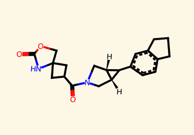 O=C1NC2(CO1)CC(C(=O)N1C[C@@H]3C(c4ccc5c(c4)CCC5)[C@@H]3C1)C2